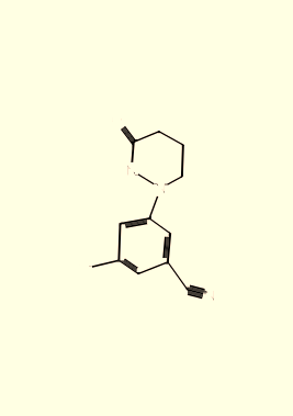 N#Cc1cc(Cl)cc(N2CCCC(=O)N2)c1